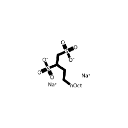 CCCCCCCCCCC(CS(=O)(=O)[O-])S(=O)(=O)[O-].[Na+].[Na+]